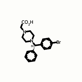 O=C(O)CN1CCN([C@@H](c2ccccc2)c2ccc(Br)cc2)CC1